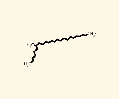 [CH2]CCCCCCCCCCCCCCCCC(C)CCCCC[CH2]